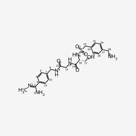 C/N=C(\N)c1ccc(CNC(=O)CNC(=O)[C@@H](CO)NS(=O)(=O)Cc2ccc(CN)cc2)cc1